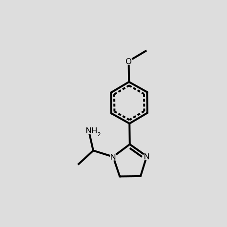 COc1ccc(C2=NCCN2C(C)N)cc1